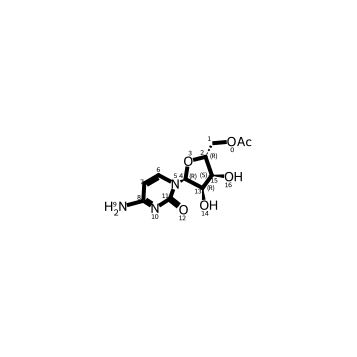 CC(=O)OC[C@H]1O[C@@H](n2ccc(N)nc2=O)[C@H](O)[C@@H]1O